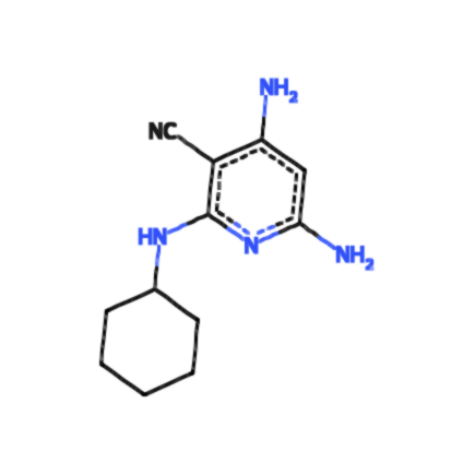 N#Cc1c(N)cc(N)nc1NC1CCCCC1